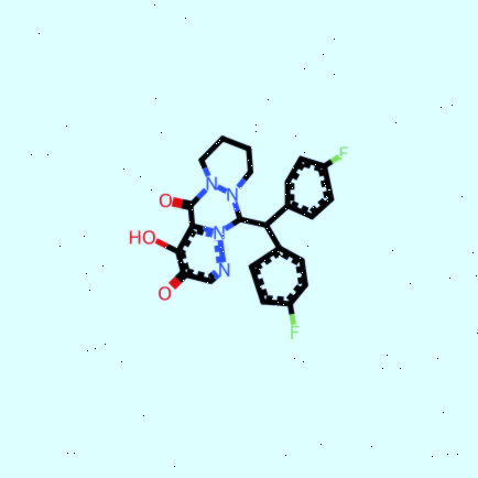 O=C1c2c(O)c(=O)cnn2C(C(c2ccc(F)cc2)c2ccc(F)cc2)N2CCCCN12